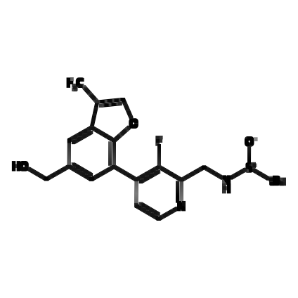 CC(C)(C)[S+]([O-])NCc1nccc(-c2cc(CO)cc3c(C(F)(F)F)coc23)c1F